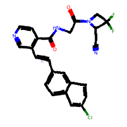 N#CC1N(C(=O)CNC(=O)c2ccncc2/C=C/c2ccc3cc(Cl)ccc3c2)CC1(F)F